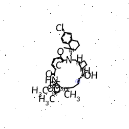 CO[C@H](C)C[C@H]1[C@@H](C)C/C=C/[C@H](O)[C@@H]2CC[C@H]2CN2C[C@@]3(CCCc4cc(Cl)ccc43)COc3ccc(cc32)C(=O)NS1(=O)=O